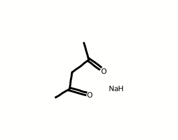 CC(=O)CC(C)=O.[NaH]